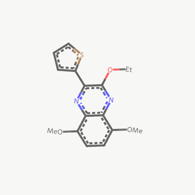 CCOc1nc2c(OC)ccc(OC)c2nc1-c1cccs1